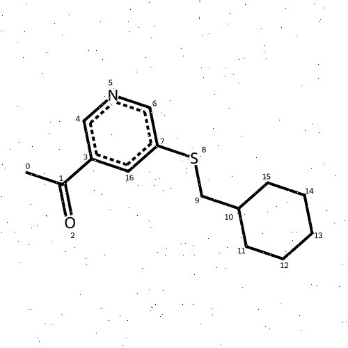 CC(=O)c1cncc(SCC2CCCCC2)c1